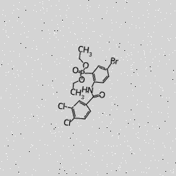 CCOP(=O)(OCC)c1cc(Br)ccc1NC(=O)c1ccc(Cl)c(Cl)c1